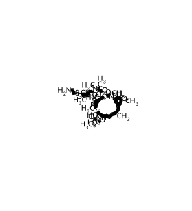 COC(=O)N[C@]1(O)C[C@@H](C)[C@@H]2OC2(C)[C@@H](OC(=O)[C@H](C)N(C)C(=O)CCC(C)(C)SSCCN)CC(=O)N(C)c2cc(cc(OC)c2Cl)C/C(C)=C/C=C/[C@H]1OC